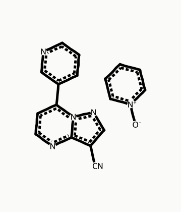 N#Cc1cnn2c(-c3cccnc3)ccnc12.[O-][n+]1ccccc1